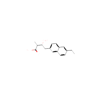 CCc1ccc2cc(C[C@H](O)C(C)C(=O)O)ccc2c1